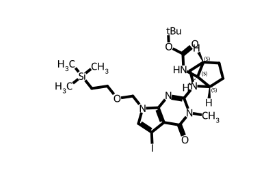 Cn1c(N2C[C@@H]3CC[C@H]2[C@H]3NC(=O)OC(C)(C)C)nc2c(c(I)cn2COCC[Si](C)(C)C)c1=O